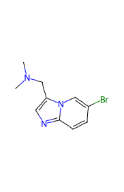 CN(C)Cc1cnc2ccc(Br)cn12